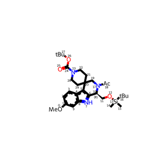 COc1ccc2c3c([nH]c2c1)[C@H](CO[Si](C)(C)C(C)(C)C)N(C(C)=O)CC31CCN(C(=O)OC(C)(C)C)CC1